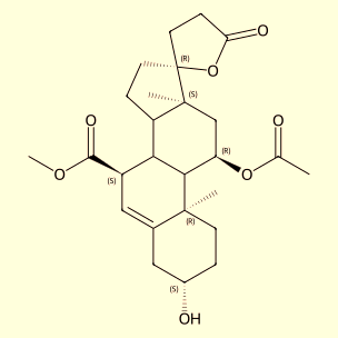 COC(=O)[C@@H]1C=C2C[C@@H](O)CC[C@]2(C)C2C1C1CC[C@@]3(CCC(=O)O3)[C@@]1(C)C[C@H]2OC(C)=O